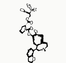 CCN(CC)C(=O)COC(=O)[C@H]1CCCN1C(=O)Oc1cc2c(cc1Cl)CCN(C)CC2c1cccc2c1OCC2